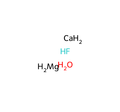 F.O.[CaH2].[MgH2]